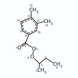 CC[C](C)OOC(=O)c1ccc(C)c(C)c1